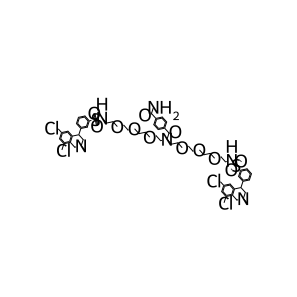 CN1Cc2c(Cl)cc(Cl)cc2C(c2cccc(S(=O)(=O)NCCOCCOCCOCCN(CCOCCOCCOCCNS(=O)(=O)c3cccc(C4CN(C)Cc5c(Cl)cc(Cl)cc54)c3)C(=O)c3ccc(C(N)=O)cc3)c2)C1